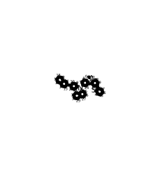 C[Si]1(C)c2ccc(N(c3ccc(-c4ccc5ccccc5c4)cc3)c3cccc4ccccc34)cc2-c2c1ccc1c2sc2ccccc21